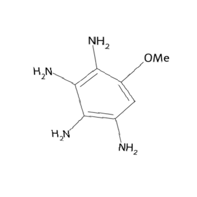 COc1cc(N)c(N)c(N)c1N